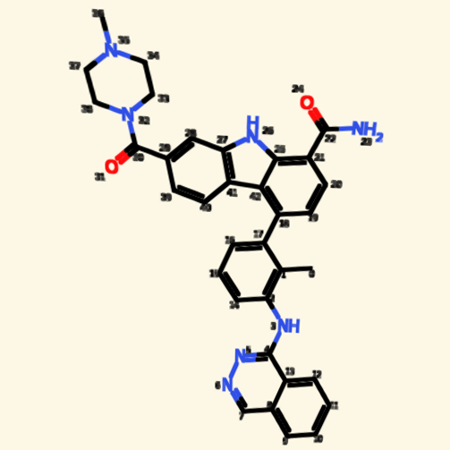 Cc1c(Nc2nncc3ccccc23)cccc1-c1ccc(C(N)=O)c2[nH]c3cc(C(=O)N4CCN(C)CC4)ccc3c12